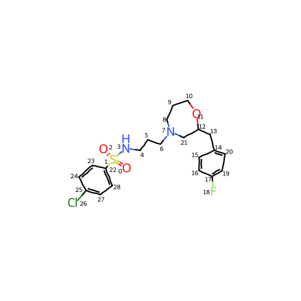 O=S(=O)(NCCCN1CCCOC(Cc2ccc(F)cc2)C1)c1ccc(Cl)cc1